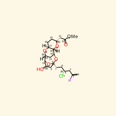 C=C(I)C[C@H](Cl)CC[C@]12C[C@@H](O)C(O1)[C@H]1CC(O2)[C@H]2O[C@@H](CC(=O)OC)CC[C@@H]2O1